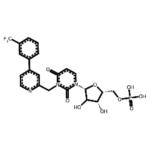 O=c1ccn([C@@H]2O[C@H](COP(=O)(O)O)[C@H](O)C2O)c(=O)n1Cc1cc(-c2cccc(C(F)(F)F)c2)ccn1